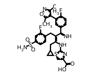 Cc1noc(C)c1-c1cc(C(=N)/C(Cc2ccc(S(N)(=O)=O)cc2F)=C(/CC2CC2)Nc2nc(C(=O)O)cs2)ccc1F